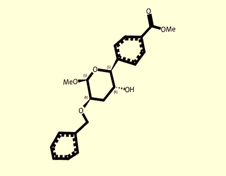 COC(=O)c1ccc([C@@H]2O[C@H](OC)[C@H](OCc3ccccc3)C[C@H]2O)cc1